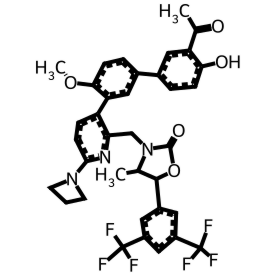 COc1ccc(-c2ccc(O)c(C(C)=O)c2)cc1-c1ccc(N2CCC2)nc1CN1C(=O)OC(c2cc(C(F)(F)F)cc(C(F)(F)F)c2)C1C